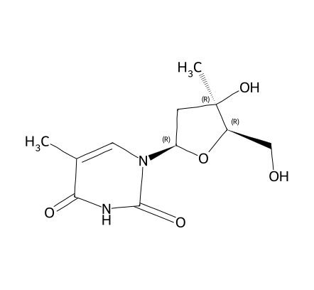 Cc1cn([C@H]2C[C@@](C)(O)[C@@H](CO)O2)c(=O)[nH]c1=O